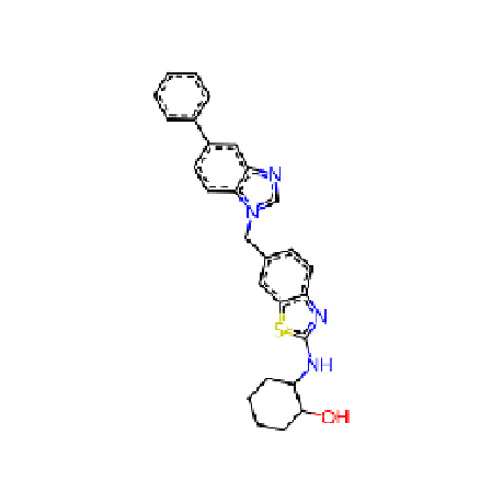 OC1CCCCC1Nc1nc2ccc(Cn3cnc4cc(-c5ccccc5)ccc43)cc2s1